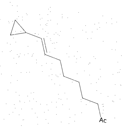 CC(=O)CCCCCC=CC1CC1